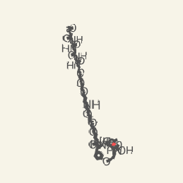 CC(=O)SCC(=O)NCC(=O)NCC(=O)NCC(=O)NCCOCCOCCOCCCNCCOCCOCCOCCNC(=O)C1Cc2ccc(cc2)OCCCC[C@H](C(=O)NO)[C@@H](CC(C)C)C(=O)N1